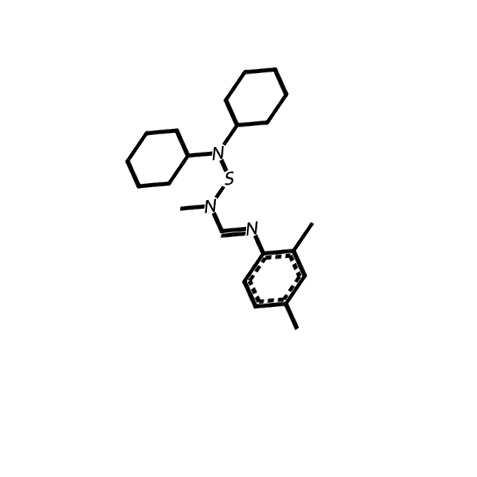 Cc1ccc(N=CN(C)SN(C2CCCCC2)C2CCCCC2)c(C)c1